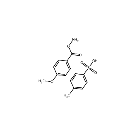 COc1ccc(C(=O)ON)cc1.Cc1ccc(S(=O)(=O)O)cc1